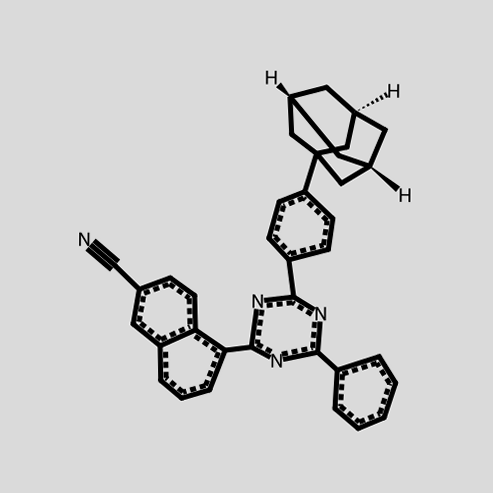 N#Cc1ccc2c(-c3nc(-c4ccccc4)nc(-c4ccc(C56C[C@H]7C[C@@H](C5)C[C@@H](C6)C7)cc4)n3)cccc2c1